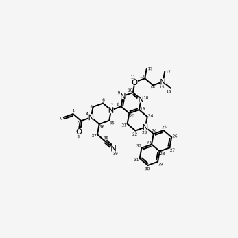 C=CC(=O)N1CCN(c2nc(OC(C)CN(C)C)nc3c2CCN(c2cccc4ccccc24)C3)CC1CC#N